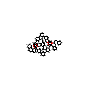 N#Cc1c(-n2c3ccccc3c3ccccc32)c(-n2c3cccc(-c4ccccc4-c4cccc5ccccc45)c3c3ccc4c5ccccc5sc4c32)c(C#N)c(-n2c3ccccc3c3ccccc32)c1-n1c2cc(-c3cccc4ccc5ccccc5c34)ccc2c2ccc3c4ccccc4sc3c21